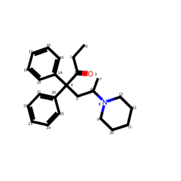 CCC(=O)C(CC(C)N1CCCCC1)(c1ccccc1)c1ccccc1